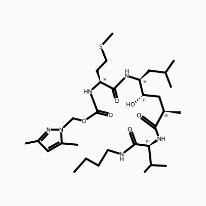 CCCCNC(=O)[C@@H](NC(=O)[C@H](C)C[C@H](O)[C@H](CC(C)C)NC(=O)[C@H](CCSC)NC(=O)OCn1nc(C)cc1C)C(C)C